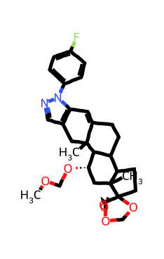 COCO[C@H]1CC2(C)C(CCC23OCOC32COCO2)C2CCC3=Cc4c(cnn4-c4ccc(F)cc4)CC3(C)C21